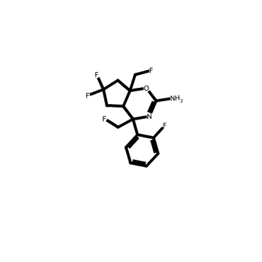 NC1=NC(CF)(c2ccccc2F)C2CC(F)(F)CC2(CF)O1